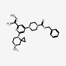 CN1CCN(c2cc(N3CCN(C(=O)OCc4ccccc4)CC3)cc(/C(N)=N/O)n2)C2(CC2)C1